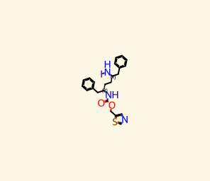 O=C(N[C@H](CC[C@H](Cc1ccccc1)NI)Cc1ccccc1)OCc1cncs1